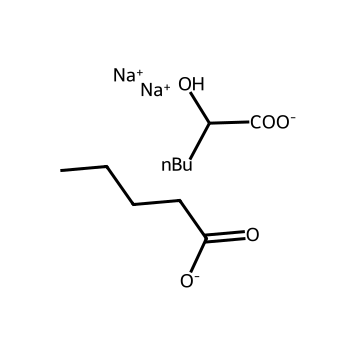 CCCCC(=O)[O-].CCCCC(O)C(=O)[O-].[Na+].[Na+]